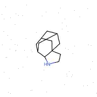 C1CC23CC4CC(CC(C4)C2N1)C3